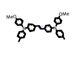 COc1ccc(N(c2ccc(C)cc2)c2ccc(/C=C/c3ccc(N(c4ccc(C)cc4)c4ccc(OC)cc4)cc3)cc2)cc1